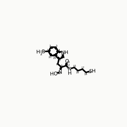 Bc1ccc2[nH]cc(C/C(=N\O)C(=O)NCCCCS)c2c1